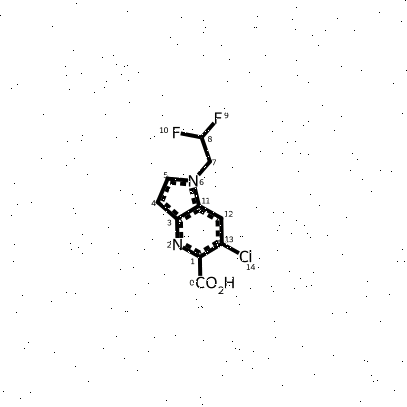 O=C(O)c1nc2ccn(CC(F)F)c2cc1Cl